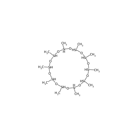 C[SiH]1O[SiH](C)O[SiH](C)O[SiH](C)O[SiH](C)O[SiH](C)O[SiH](C)O[SiH](C)O[SiH](C)O[SiH](C)O1